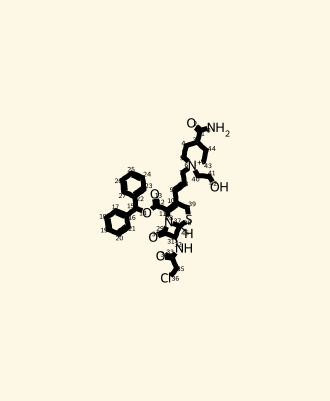 NC(=O)C1CC[N+](C/C=C/C2=C(C(=O)OC(c3ccccc3)c3ccccc3)N3C(=O)[C@@H](NC(=O)CCl)[C@@H]3SC2)(CCO)CC1